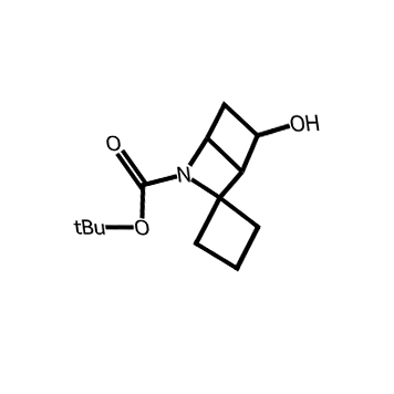 CC(C)(C)OC(=O)N1C2CC(O)C2C12CCC2